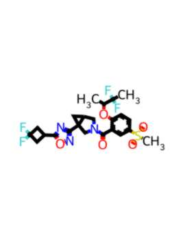 CC(Oc1ccc(S(C)(=O)=O)cc1C(=O)N1CC2CC2(c2noc(C3CC(F)(F)C3)n2)C1)C(C)(F)F